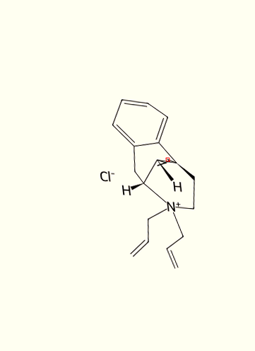 C=CC[N+]1(CC=C)CC[C@]23CCCC[C@H]2[C@H]1Cc1ccccc13.[Cl-]